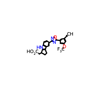 C#Cc1cc(OC(F)(F)F)cc(-c2nc(-c3ccc4[nH]c5c(c4c3)CCC5CC(=O)O)no2)c1